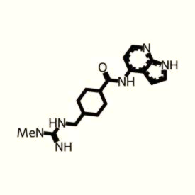 CNC(=N)NCC1CCC(C(=O)Nc2ccnc3[nH]ccc23)CC1